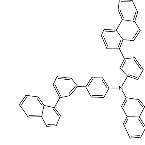 c1cc(-c2ccc(N(c3cccc(-c4cccc5c4ccc4ccccc45)c3)c3ccc4ccccc4c3)cc2)cc(-c2cccc3ccccc23)c1